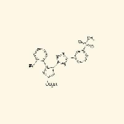 CCOC(=O)c1cc(-c2nnc(-c3cccc(S(C)(=O)=O)c3)s2)n(-c2ccccc2C(C)C)n1